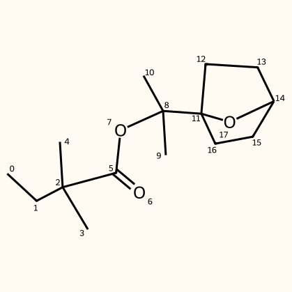 CCC(C)(C)C(=O)OC(C)(C)C12CCC(CC1)O2